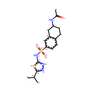 CC(=O)NC1CCc2ccc(S(=O)(=O)Nc3nnc(C(C)C)s3)cc2C1